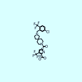 O=C(O)c1nn(C(=O)N2CCC3(CCN(Cc4cc(Cl)ccc4C(F)(F)F)C3)CC2)cc1C(F)(F)F